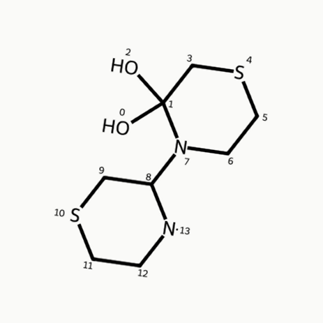 OC1(O)CSCCN1C1CSCC[N]1